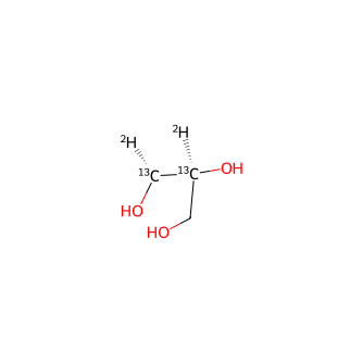 [2H][13C@@H](O)[13C@@]([2H])(O)CO